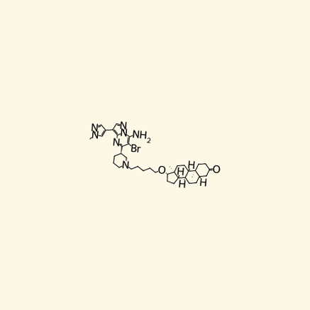 Cn1cc(-c2cnn3c(N)c(Br)c([C@@H]4CCCN(CCCCCO[C@H]5CC[C@H]6[C@@H]7CC[C@H]8CC(=O)CC[C@]8(C)[C@H]7CC[C@]56C)C4)nc23)cn1